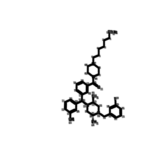 CCOC(=O)CCCCCCN1CCN(C(=O)c2cccc([C@H](c3cccc(O)c3)N3C[C@@H](C)N(Cc4cccc(F)c4)C[C@@H]3C)c2)CC1